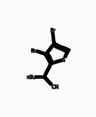 CCCCC(C#N)c1scc(Br)c1Br